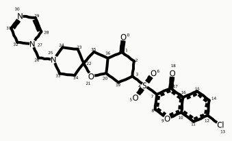 O=C1CC(S(=O)(=O)c2coc3cc(Cl)ccc3c2=O)CC2OC3(CCN(CN4C=CN=CC4)CC3)CC12